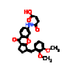 COc1cccc(/C=C2/CCc3c2oc2cc(NC(=O)/C=C\C(=O)O)ccc2c3=O)c1OC